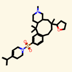 CC(C)C1=CCN(S(=O)(=O)c2ccc3c(c2)C(C)(C)C2CCN(C)CC2CC(C)(C2CCCO2)CC3)CC1